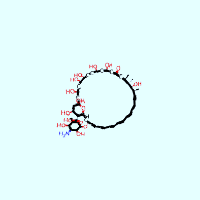 CC1CC(O[C@H]2/C=C/C=C/C=C/C=C/C=C/C=C/C=C/[C@H](C)[C@@H](O)[C@@H](C)[C@H](C)CC(=O)C[C@H](O)C[C@H](O)CC[C@@H](O)[C@H](O)C[C@H](O)C[C@]3(O)C[C@H](O)[C@@H](C(=O)O)[C@H](C2)O3)C(O)C(N)C1O